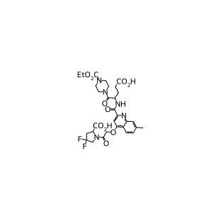 CCOC(=O)N1CCN(C(=O)C(CCC(=O)O)NC(=O)c2cc(OCC(=O)N3CC(F)(F)CC3C(=O)O)c3ccc(C)cc3n2)CC1